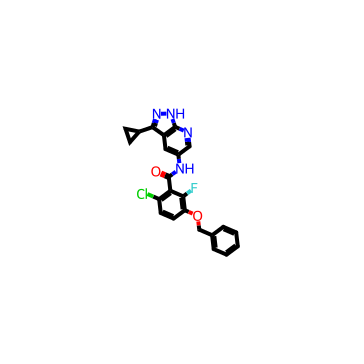 O=C(Nc1cnc2[nH]nc(C3CC3)c2c1)c1c(Cl)ccc(OCc2ccccc2)c1F